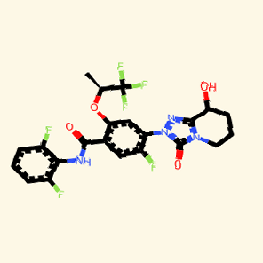 C[C@H](Oc1cc(-n2nc3n(c2=O)CCCC3O)c(F)cc1C(=O)Nc1c(F)cccc1F)C(F)(F)F